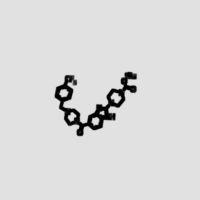 CC(C)(C)OC(=O)N1CCN(c2nc3cc(C(=O)N4CCN(Cc5ccc(C(F)(F)F)cc5)CC4)ccc3[nH]2)CC1